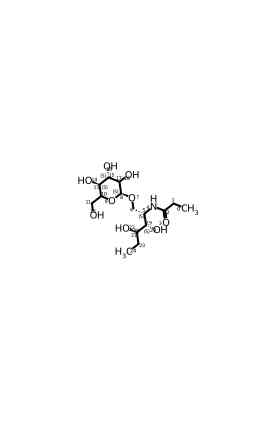 CCC(=O)N[C@@H](CO[C@H]1OC(CO)[C@@H](O)[C@H](O)C1O)[C@H](O)[C@H](O)CC